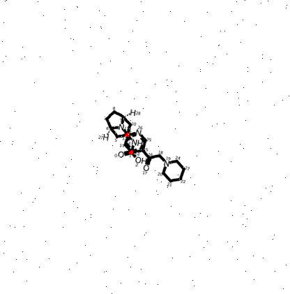 O=C(O)N[C@H]1C[C@H]2CC[C@@H](C1)N2c1ccc(C(=O)CN2CCCCC2)cn1